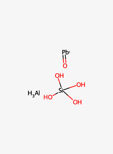 O[Si](O)(O)O.[AlH3].[O]=[Pb]